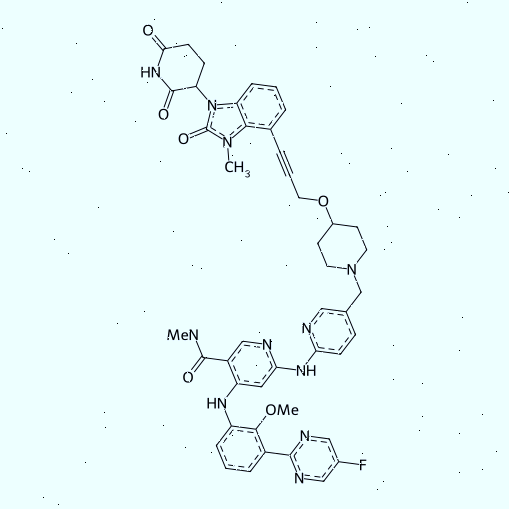 CNC(=O)c1cnc(Nc2ccc(CN3CCC(OCC#Cc4cccc5c4n(C)c(=O)n5C4CCC(=O)NC4=O)CC3)cn2)cc1Nc1cccc(-c2ncc(F)cn2)c1OC